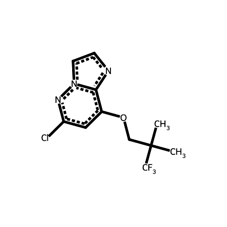 CC(C)(COc1cc(Cl)nn2ccnc12)C(F)(F)F